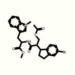 COC(=O)C(Cc1cn(C)c2ccccc12)NC(=O)C(CSC(C)=O)C1CCc2cc(Br)ccc21